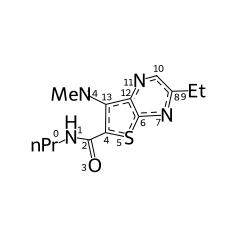 CCCNC(=O)c1sc2nc(CC)cnc2c1NC